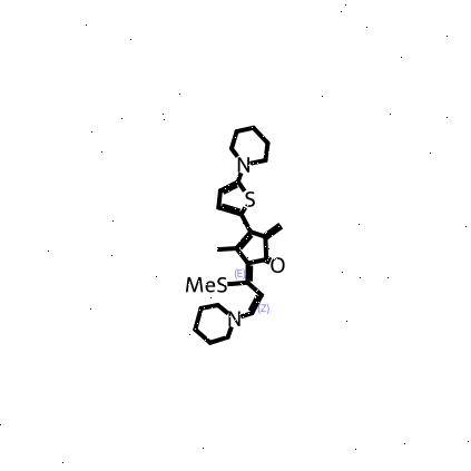 C=C1C(=O)/C(=C(\C=C/N2CCCCC2)SC)C(C)=C1c1ccc(N2CCCCC2)s1